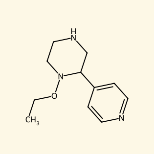 CCON1CCNCC1c1ccncc1